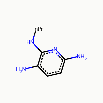 CCCNc1nc(N)ccc1N